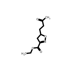 CCOC(=O)C1=NOC(CCC(C)=O)C1